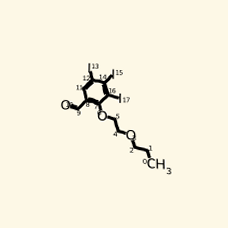 CCCOCCOc1c(C=O)cc(I)c(I)c1I